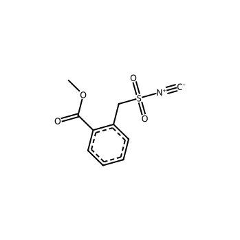 [C-]#[N+]S(=O)(=O)Cc1ccccc1C(=O)OC